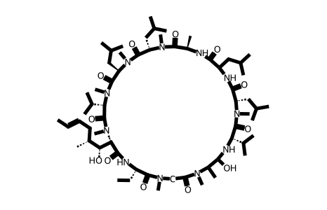 C/C=C/C[C@@H](C)[C@@H](O)[C@H]1C(=O)N[C@@H](CC)C(=O)N(C)CC(=O)N(C)C(C)C(O)N[C@@H](C(C)C)C(=O)N(C)[C@@H](CC(C)C)C(=O)NC(CC(C)C)C(=O)N[C@H](C)C(=O)N(C)[C@@H](CC(C)C)C(=O)N(C)[C@H](CC(C)C)C(=O)N(C)[C@@H](C(C)C)C(=O)N1C